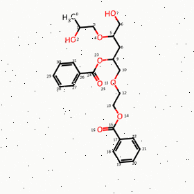 CC(O)COC(CO)CC(COCCOC(=O)c1ccccc1)OC(=O)c1ccccc1